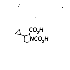 O=C(O)C1C(C2CC2)CCN1C(=O)O